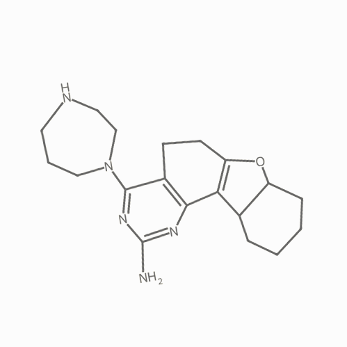 Nc1nc2c(c(N3CCCNCC3)n1)CCC1=C2C2CCCCC2O1